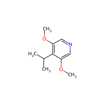 COc1cncc(OC)c1C(C)C